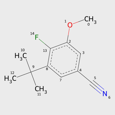 COc1cc(C#N)cc(C(C)(C)C)c1F